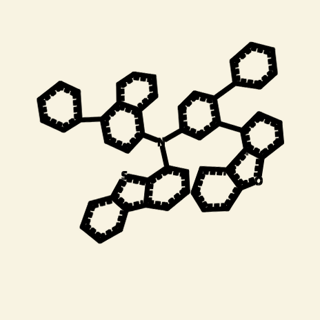 c1ccc(-c2ccc(N(c3ccc(-c4ccccc4)c4ccccc34)c3cccc4c3sc3ccccc34)cc2-c2cccc3oc4ccccc4c23)cc1